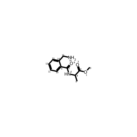 COC(=O)C(C)NC(=O)c1ccccc1CN